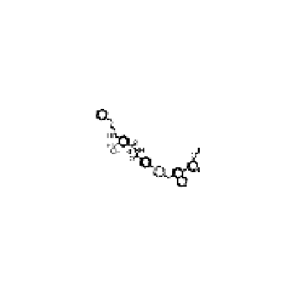 CCOc1cncc(-c2ccc(CN3CCN(c4ccc(C(=O)NS(=O)(=O)c5ccc(NCCSc6ccccc6)c(NO)c5)cc4)CC3)c3ccccc23)c1